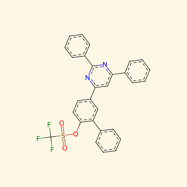 O=S(=O)(Oc1ccc(-c2cc(-c3ccccc3)nc(-c3ccccc3)n2)cc1-c1ccccc1)C(F)(F)F